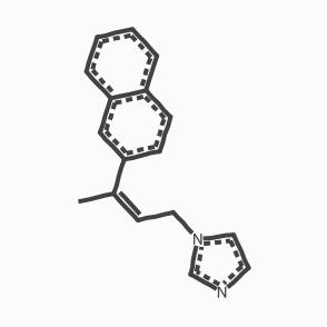 C/C(=C/Cn1ccnc1)c1ccc2ccccc2c1